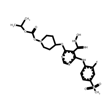 CC(C)OC(=O)ON1CCC(Oc2ncnc(Nc3ccc(S(C)(=O)=O)cc3F)c2C(=N)NO)CC1